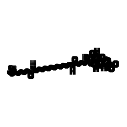 CC(C)[C@]12O[C@H]1[C@@H]1O[C@]13[C@]1(O[C@H]1C[C@H]1C4=C(CC[C@@]13C)C(=O)OC4)[C@@H]2OC(=O)CCCC(=O)NCCCCCCCCCCCCNC(=O)CCCCC1CCSS1